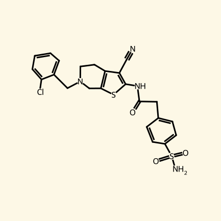 N#Cc1c(NC(=O)Cc2ccc(S(N)(=O)=O)cc2)sc2c1CCN(Cc1ccccc1Cl)C2